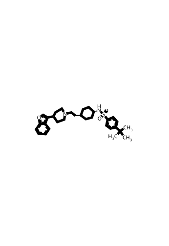 CC(C)(C)c1ccc(S(=O)(=O)N[C@H]2CC[C@H](CCN3CCC(c4coc5ccccc45)CC3)CC2)cc1